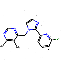 CCCc1c(Cn2ccnc2-c2cccc(F)n2)ncnc1C(C)=O